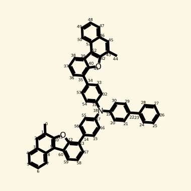 Cc1cc2ccccc2c2c1oc1c(-c3ccc(N(c4ccc(-c5ccccc5)cc4)c4ccc(-c5cccc6c5oc5c(C)cc7ccccc7c56)cc4)cc3)cccc12